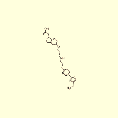 CCc1csc(-c2ccc(CCCNCCCOc3ccc4c(c3)CC[C@H]4CC(=O)O)nc2)n1